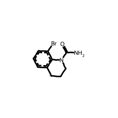 NC(=O)N1CC[CH]c2cccc(Br)c21